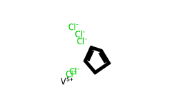 C1=CCC=C1.[Cl-].[Cl-].[Cl-].[Cl-].[Cl-].[V+5]